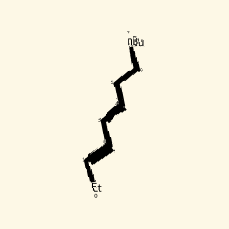 CCC=CC=CCCCCCC